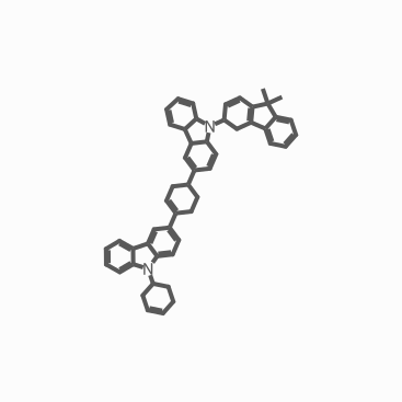 CC1(C)C2=C(CC(N3C4C=CC=CC4C4C=C(C5CC=C(c6ccc7c(c6)c6ccccc6n7C6CC=CCC6)CC5)C=CC43)C=C2)c2ccccc21